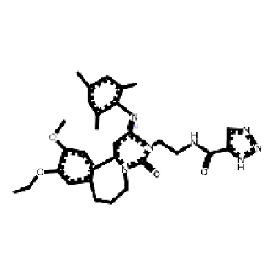 CCOc1cc2c(cc1OC)-c1c/c(=N\c3c(C)cc(C)cc3C)n(CCNC(=O)c3cnn[nH]3)c(=O)n1CCC2